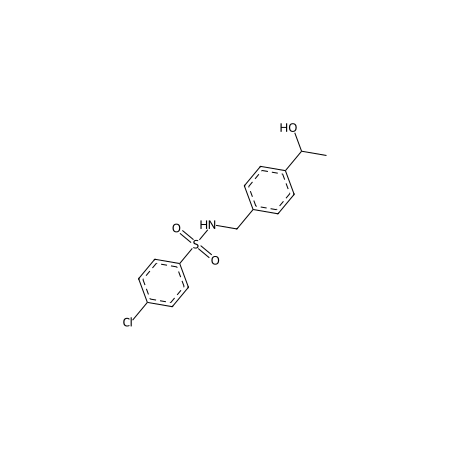 CC(O)c1ccc(CNS(=O)(=O)c2ccc(Cl)cc2)cc1